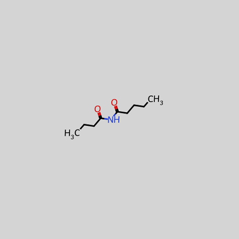 CCCCC(=O)NC(=O)CCC